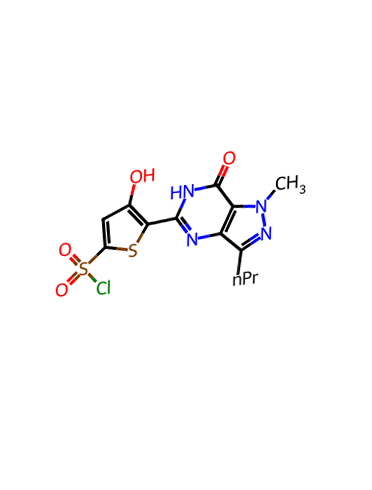 CCCc1nn(C)c2c(=O)[nH]c(-c3sc(S(=O)(=O)Cl)cc3O)nc12